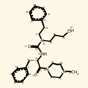 CN1CCN(C(=O)[C@H](Cc2ccccc2)NC(=O)N(CCCO)CCc2ccccc2)CC1